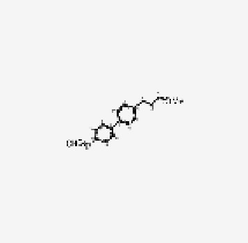 COCCCc1ccc(-c2ccc(OC=O)cc2)cc1